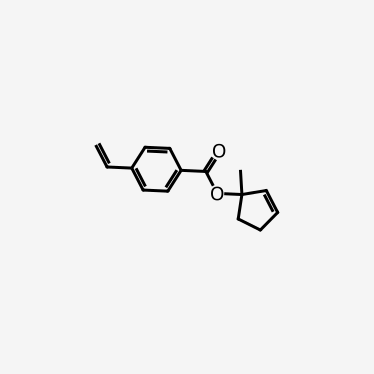 C=Cc1ccc(C(=O)OC2(C)C=CCC2)cc1